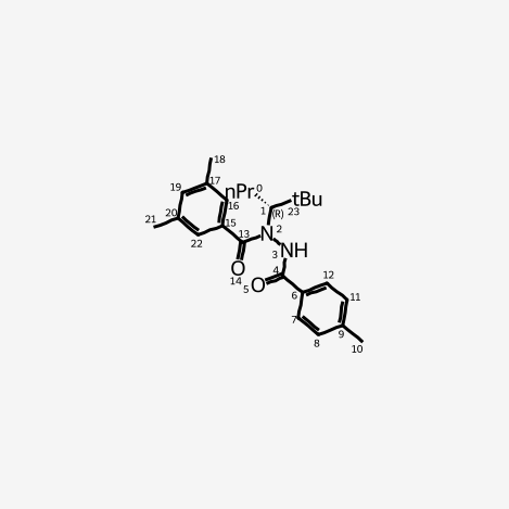 CCC[C@@H](N(NC(=O)c1ccc(C)cc1)C(=O)c1cc(C)cc(C)c1)C(C)(C)C